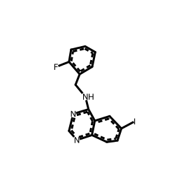 Fc1ccccc1CNc1ncnc2ccc(I)cc12